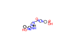 O=C(CCN1CCN2c3cc(-c4ccccc4O)nnc3NC[C@H]2C1)N1CCN([C@H]2CC[C@@H](C(=O)O)CC2)CC1